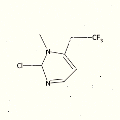 CN1C(CC(F)(F)F)=CC=NC1Cl